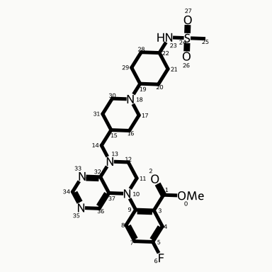 COC(=O)c1cc(F)ccc1N1CCN(CC2CCN(C3CCC(NS(C)(=O)=O)CC3)CC2)c2ncncc21